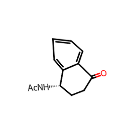 CC(=O)N[C@H]1CCC(=O)c2ccccc21